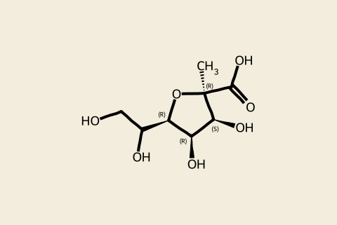 C[C@@]1(C(=O)O)O[C@H](C(O)CO)[C@H](O)[C@@H]1O